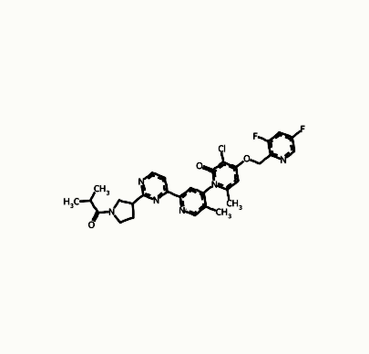 Cc1cnc(-c2ccnc(C3CCN(C(=O)C(C)C)C3)n2)cc1-n1c(C)cc(OCc2ncc(F)cc2F)c(Cl)c1=O